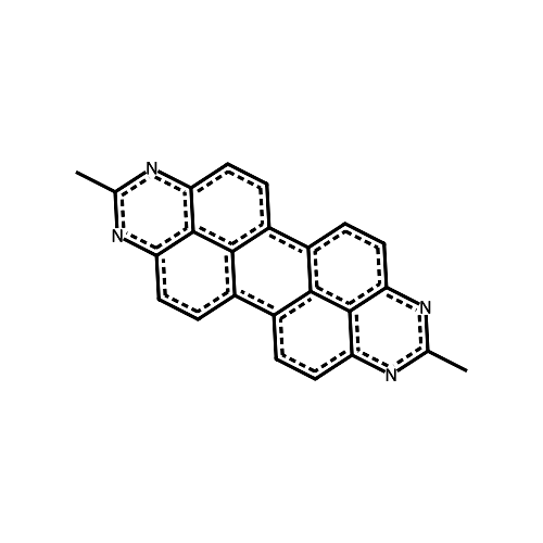 Cc1nc2ccc3c4ccc5nc(C)nc6ccc(c7ccc(n1)c2c37)c4c56